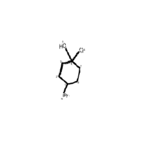 C[C](C)C1CCC(O)(Cl)CC1